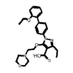 CCOc1ccccc1-c1ccc(-n2nc(CC)c(C(=O)O)c2OCCN2CCOCC2)cc1